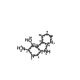 Nc1ncc2[nH]c3ncccc3c2c1O